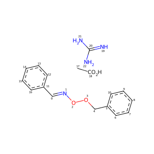 C(=NOOCc1ccccc1)c1ccccc1.CC(=O)O.N=C(N)N